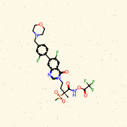 C[C@@](CCn1cnc2cc(-c3ccc(CN4CCOCC4)cc3F)c(F)cc2c1=O)(C(=O)NOC(=O)C(F)(F)F)S(C)(=O)=O